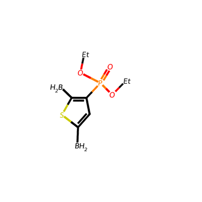 Bc1cc(P(=O)(OCC)OCC)c(B)s1